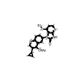 CCOc1ccnc2[nH]c(=O)n(-c3ccc4ncc(C5CC5)c(OC)c4c3)c12